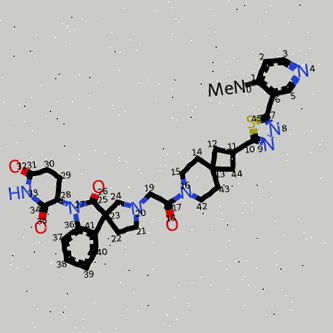 CNc1ccncc1-c1nnc(C2CC3(CCN(C(=O)CN4CCC5(C4)C(=O)N(C4CCC(=O)NC4=O)c4ccccc45)CC3)C2)s1